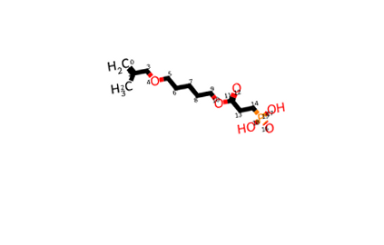 C=C(C)COCCCCCOC(=O)CCP(=O)(O)O